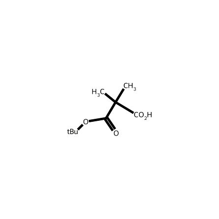 CC(C)(C)OC(=O)C(C)(C)C(=O)O